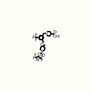 CC1(OCc2cc(CN3CCC(C(=O)O)CC3)cc(C(F)(F)F)c2)CCN(C(=O)OC(C(F)(F)F)C(F)(F)F)CC1